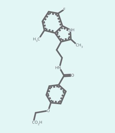 Cc1[nH]c2c(F)ccc(C)c2c1CCNC(=O)c1ccc(OCC(=O)O)cc1